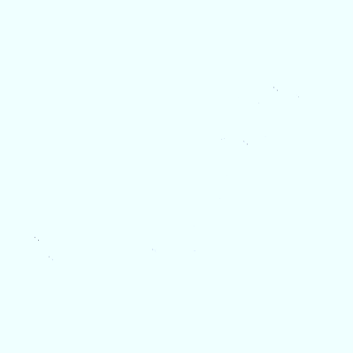 O=C1CC[C@H](N2Cc3c(ccc4c3OCC43CCN(Cc4ccc5cn[nH]c5c4)CC3(F)F)C2=O)C(=O)N1